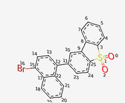 O=S1(=O)c2ccccc2-c2cc(-c3ccc(Br)c4ccccc34)ccc21